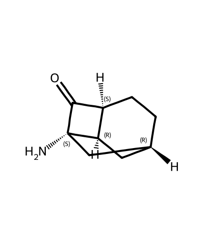 N[C@]12C[C@@H]3CC[C@H](C1=O)[C@H]2C3